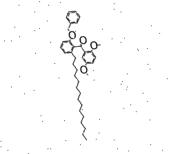 CCCCCCCCCCCCCCCc1cccc(OCc2ccccc2)c1C(=O)c1cc(OC)ccc1OC